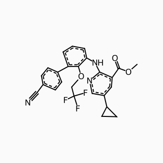 COC(=O)c1cc(C2CC2)cnc1Nc1cccc(-c2ccc(C#N)cc2)c1OCC(F)(F)F